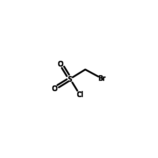 O=S(=O)(Cl)CBr